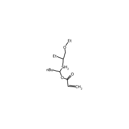 C=CC(=O)OC(CCCC)[SiH2]C(CC)COCC